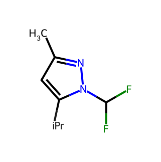 Cc1cc(C(C)C)n(C(F)F)n1